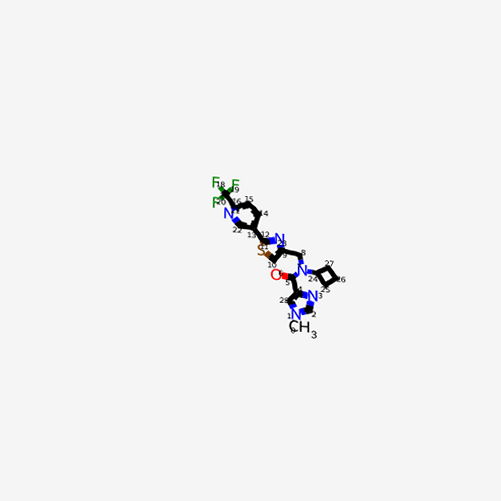 Cn1cnc(C(=O)N(Cc2csc(-c3ccc(C(F)(F)F)nc3)n2)C2CCC2)c1